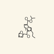 CCCc1cc2n(c1C(=O)c1ccco1)CC=C2C(=O)OC(C)C